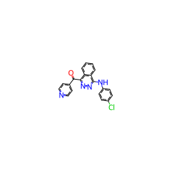 O=C(c1ccncc1)c1nnc(Nc2ccc(Cl)cc2)c2ccccc12